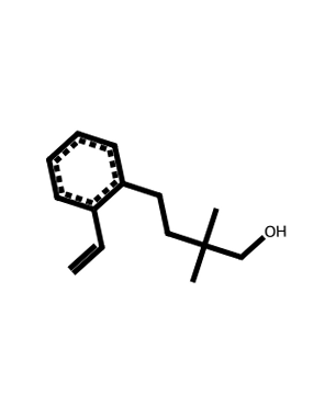 C=Cc1ccccc1CCC(C)(C)CO